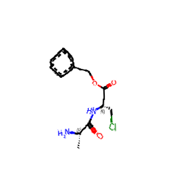 C[C@H](N)C(=O)N[C@@H](CCl)C(=O)OCc1ccccc1